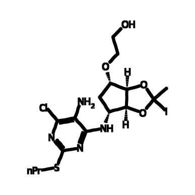 CCCSc1nc(Cl)c(N)c(N[C@@H]2C[C@H](OCCO)[C@H]3OC(C)(I)O[C@H]32)n1